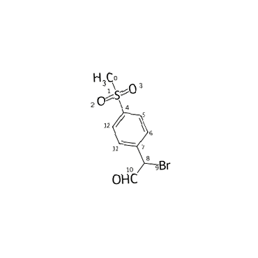 CS(=O)(=O)c1ccc(C(Br)C=O)cc1